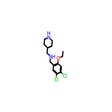 CCOc1cc(Cl)c(Cl)cc1CNCC1CCNCC1